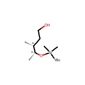 C[C@H](CCO)[C@@H](C)O[Si](C)(C)C(C)(C)C